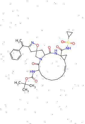 C=C(C1=NOC2(C1)CC1C(=O)NC3(C(=O)NS(=O)(=O)C4CC4)CC3/C=C\CCCCCC(NC(=O)OC(C)(C)C)C(=O)N1C2)c1ccccc1